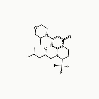 CC(C)CC(=O)CN1c2nc(N3CCOCC3C)cc(=O)n2CCC1C(F)(F)F